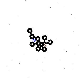 c1ccc(-c2ccc3c(c2)c2ccccc2n3-c2ccccc2-c2ccc3c(c2)C2(c4ccccc4-c4ccccc42)c2sc(-c4ccccc4)c(-c4ccccc4)c2-3)cc1